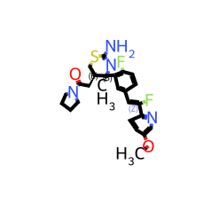 COc1ccc(/C(F)=C/c2ccc(F)c([C@@]3(C)N=C(N)SC[C@@H]3CC(=O)N3CCCC3)c2)nc1